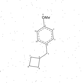 COc1ccc(CC2CCC2)cc1